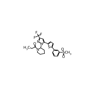 CCC(=O)N1CCCCC1n1nc(C(F)(F)F)cc1-c1ccc(-c2cccc(S(C)(=O)=O)c2)s1